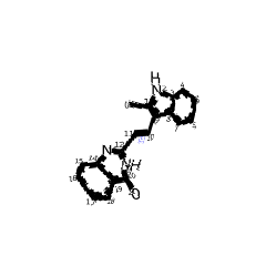 Cc1[nH]c2ccccc2c1/C=C/c1nc2ccccc2c(=O)[nH]1